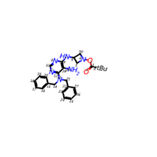 CC(C)(C)C(=O)ON1CC(Nc2ncnc(N(Cc3ccccc3)Cc3ccccc3)c2N)C1